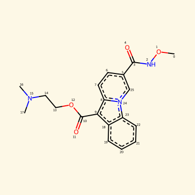 CONC(=O)c1ccc2c(C(=O)OCCN(C)C)c3ccccc3n2c1